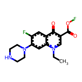 CCn1cc(C(=O)OF)c(=O)c2cc(F)c(N3CCNCC3)cc21